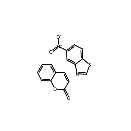 O=[N+]([O-])c1ccc2scnc2c1.O=c1ccc2ccccc2o1